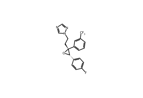 Fc1ccc([C@@H]2O[C@]2(CCn2cncn2)c2cccc(C(F)(F)F)c2)cc1